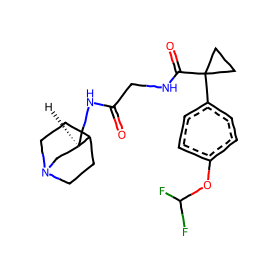 O=C(CNC(=O)C1(c2ccc(OC(F)F)cc2)CC1)N[C@@H]1CN2CCC1CC2